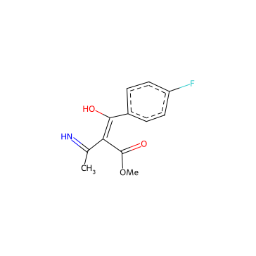 COC(=O)/C(C(C)=N)=C(/O)c1ccc(F)cc1